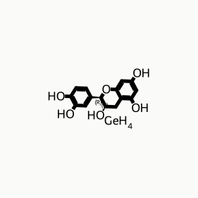 Oc1cc(O)c2c(c1)O[C@H](c1ccc(O)c(O)c1)[C@@H](O)C2.[GeH4]